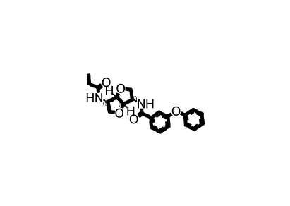 CCC(=O)N[C@H]1CO[C@H]2[C@@H]1OC[C@@H]2NC(=O)c1cccc(Oc2ccccc2)c1